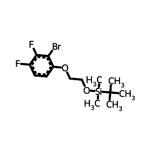 CC(C)(C)[Si](C)(C)OCCOc1ccc(F)c(F)c1Br